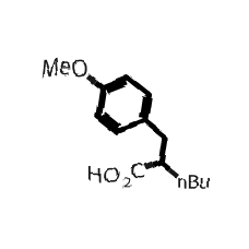 CCCCC(Cc1ccc(OC)cc1)C(=O)O